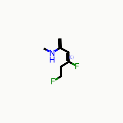 C=C(/C=C(/F)CCF)NC